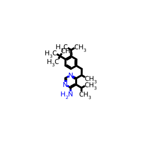 CC(C)c1cc(CC(C)c2ncnc(N)c2C(C)C)ccc1C(C)(C)C